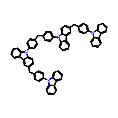 c1ccc2c(c1)c1ccccc1n2-c1ccc(Cc2ccc3c(c2)c2ccccc2n3-c2ccc(Cc3ccc(-n4c5ccccc5c5cc(Cc6ccc(-n7c8ccccc8c8ccccc87)cc6)ccc54)cc3)cc2)cc1